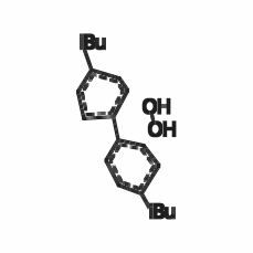 CCC(C)c1ccc(-c2ccc(C(C)CC)cc2)cc1.OO